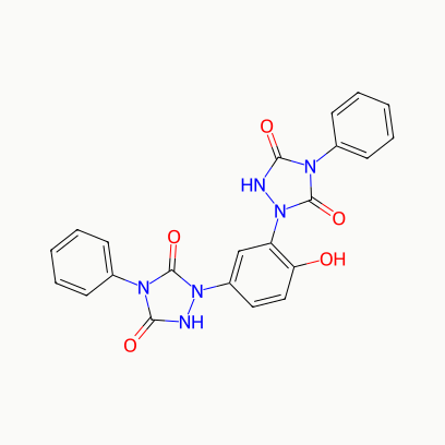 O=c1[nH]n(-c2ccc(O)c(-n3[nH]c(=O)n(-c4ccccc4)c3=O)c2)c(=O)n1-c1ccccc1